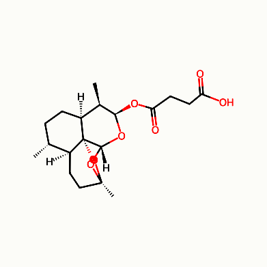 C[C@H]1[C@@H](OC(=O)CCC(=O)O)O[C@@H]2O[C@]3(C)CC[C@H]4[C@H](C)CC[C@@H]1[C@@]24OO3